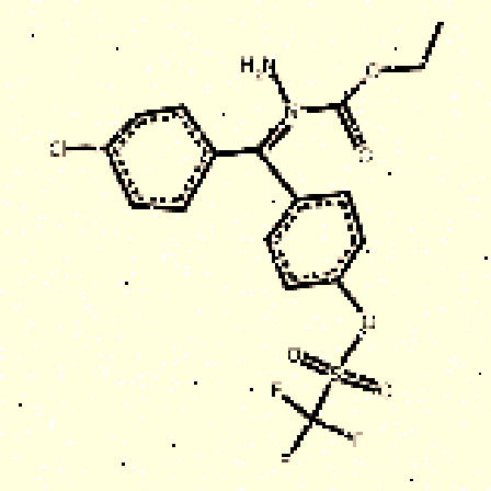 CCOC(=O)[N+](N)=C(c1ccc(Cl)cc1)c1ccc(OS(=O)(=O)C(F)(F)F)cc1